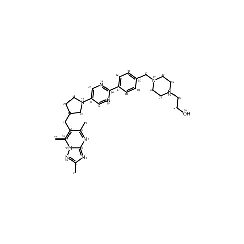 Cc1nc2nc(C)c(CC3CCN(c4cnc(-c5ccc(CN6CCN(CCO)CC6)cc5)nc4)C3)c(C)n2n1